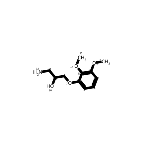 COc1cccc(OCC(O)CN)c1OC